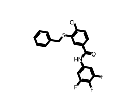 O=C(Nc1cc(F)c(F)c(F)c1)c1ccc(Cl)c(SCc2ccccc2)c1